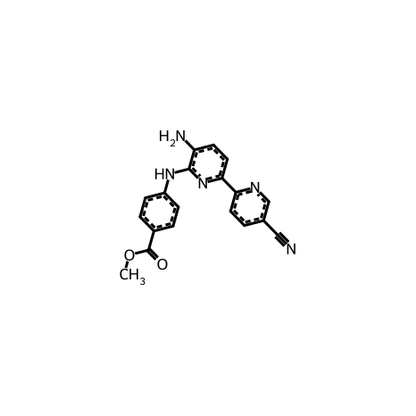 COC(=O)c1ccc(Nc2nc(-c3ccc(C#N)cn3)ccc2N)cc1